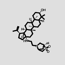 C=C(C)[C@@H]1CC[C@]2(NCCN3C[C@@H]4CC3CS4(=O)=O)CC[C@]3(C)[C@H](CC[C@@H]4[C@@]5(C)CC[C@H](O)C(C)(C)[C@@H]5CC[C@]43C)[C@@H]12